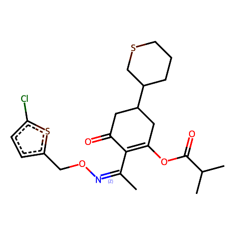 C/C(=N/OCc1ccc(Cl)s1)C1=C(OC(=O)C(C)C)CC(C2CCCSC2)CC1=O